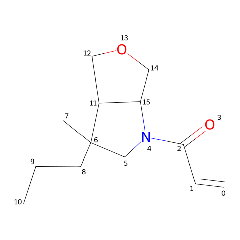 C=CC(=O)N1CC(C)(CCC)C2COCC21